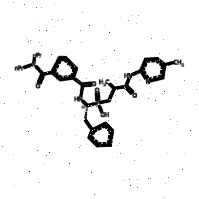 CCCN(CCC)C(=O)c1cccc(C(=O)N[C@@H](Cc2ccccc2)P(=O)(O)CC(C)C(=O)Nc2ccc(C)cn2)c1